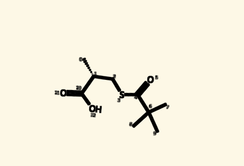 C[C@H](CSC(=O)C(C)(C)C)C(=O)O